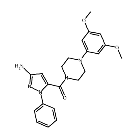 COc1cc(OC)cc(N2CCN(C(=O)c3cc(N)nn3-c3ccccc3)CC2)c1